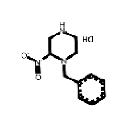 Cl.O=[N+]([O-])C1CNCCN1Cc1ccccc1